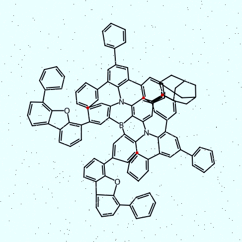 c1ccc(-c2cc(-c3ccccc3)c(N3c4ccc(-c5cccc6c5oc5c(-c7ccccc7)cccc56)cc4B4c5cc(-c6cccc7c6oc6c(-c8ccccc8)cccc67)ccc5N(c5c(-c6ccccc6)cc(-c6ccccc6)cc5-c5ccccc5)c5cc(N6C7CC8CC(C7)CC6C8)cc3c54)c(-c3ccccc3)c2)cc1